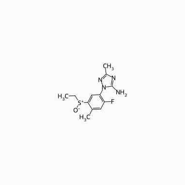 CC[S+]([O-])c1cc(-n2nc(C)nc2N)c(F)cc1C